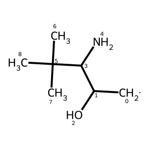 [CH2]C(O)C(N)C(C)(C)C